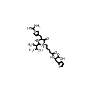 CC(O)C(N)C(=O)NC(CC1=CCN(C(=N)N)C1)C(=O)NCCCCC(=O)NC(Cc1cccs1)C(=O)O